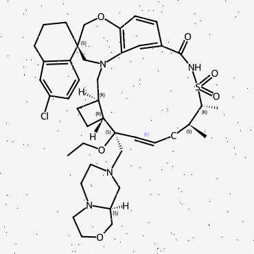 CCO[C@]1(CN2CCN3CCOC[C@@H]3C2)/C=C/C[C@H](C)[C@@H](C)S(=O)(=O)NC(=O)c2ccc3c(c2)N(C[C@@H]2CC[C@H]21)C[C@@]1(CCCc2cc(Cl)ccc21)CO3